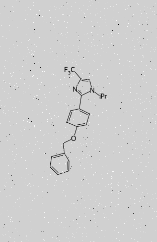 CC(C)n1cc(C(F)(F)F)nc1-c1ccc(OCc2ccccc2)cc1